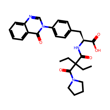 CCC(CC)(C(=O)N[C@@H](Cc1ccc(-n2cnc3ccccc3c2=O)cc1)C(=O)O)C(=O)N1CCCC1